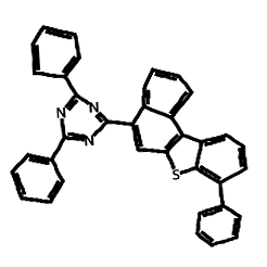 c1ccc(-c2nc(-c3ccccc3)nc(-c3cc4sc5c(-c6ccccc6)cccc5c4c4ccccc34)n2)cc1